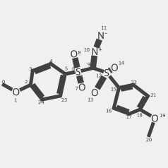 COc1ccc(S(=O)(=O)C(=[N+]=[N-])S(=O)(=O)c2ccc(OC)cc2)cc1